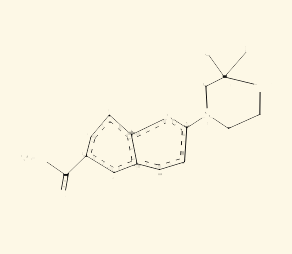 COC(=O)c1ccc2nc(N3CCOC(C)(C)C3)ccc2c1